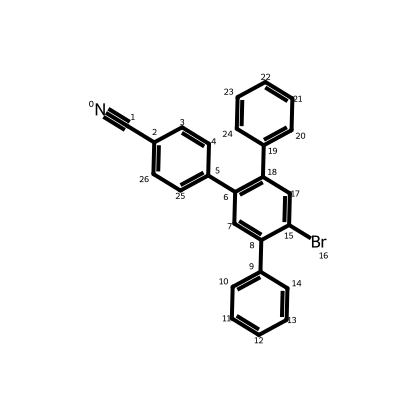 N#Cc1ccc(-c2cc(-c3ccccc3)c(Br)cc2-c2ccccc2)cc1